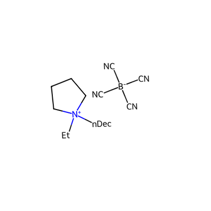 CCCCCCCCCC[N+]1(CC)CCCC1.N#C[B-](C#N)(C#N)C#N